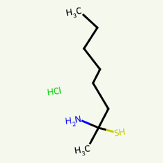 CCCCCCC(C)(N)S.Cl